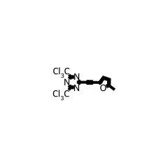 Cc1ccc(C#Cc2nc(C(Cl)(Cl)Cl)nc(C(Cl)(Cl)Cl)n2)o1